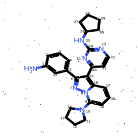 Nc1cccc(-c2nn3c(N4CCCC4)cccc3c2-c2ccnc(NC3CCCC3)n2)c1